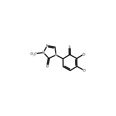 O=c1n(C2C=CC(Cl)=C(Cl)C2=S)cnn1C(Cl)(Cl)Cl